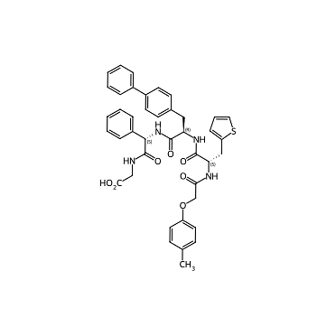 Cc1ccc(OCC(=O)N[C@@H](Cc2cccs2)C(=O)N[C@H](Cc2ccc(-c3ccccc3)cc2)C(=O)N[C@H](C(=O)NCC(=O)O)c2ccccc2)cc1